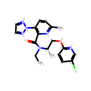 CCN(C(=O)c1nc(C)ccc1-n1nccn1)[C@@H](C)COc1ccc(Cl)cn1